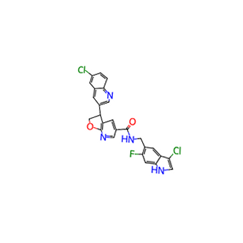 O=C(NCc1cc2c(Cl)c[nH]c2cc1F)c1cnc2c(c1)C(c1cnc3ccc(Cl)cc3c1)CO2